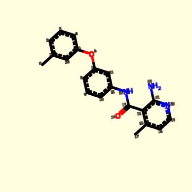 Cc1cccc(Oc2cccc(NC(=O)c3c(C)ccnc3N)c2)c1